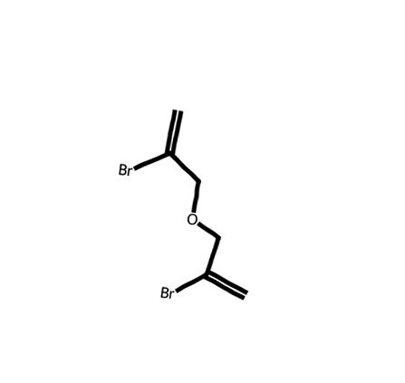 C=C(Br)COCC(=C)Br